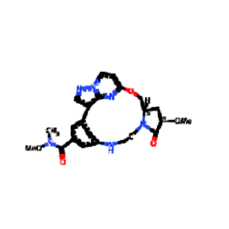 CO[C@@H]1C[C@H]2COc3ccn4ncc(c4n3)-c3cc(cc(C(=O)N(C)OC)c3)NCCN2C1=O